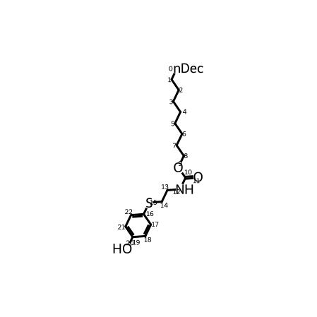 CCCCCCCCCCCCCCCCCCOC(=O)NCCSc1ccc(O)cc1